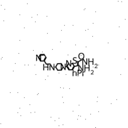 CCCc1cc(N2CCC(NCCc3cccnc3)CC2)nc2sc(C(N)=O)c(N)c12